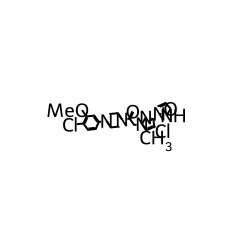 COc1cc(N2CCN(C(=O)Cn3nc(N4C=CON4)c(Cl)c3C)CC2)ccc1Cl